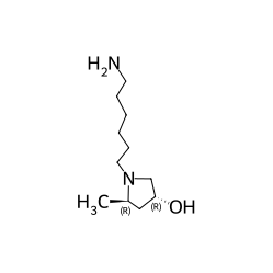 C[C@@H]1C[C@@H](O)CN1CCCCCCN